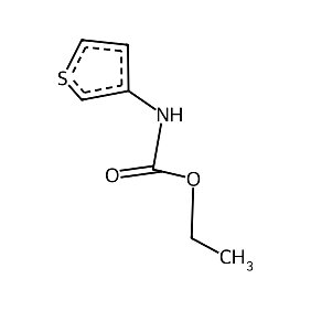 CCOC(=O)Nc1ccsc1